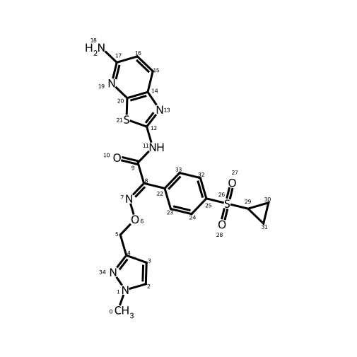 Cn1ccc(CO/N=C(/C(=O)Nc2nc3ccc(N)nc3s2)c2ccc(S(=O)(=O)C3CC3)cc2)n1